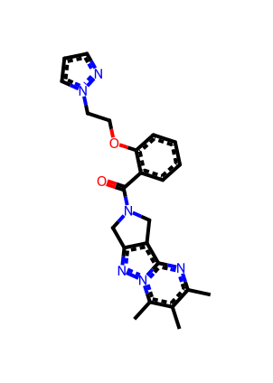 Cc1nc2c3c(nn2c(C)c1C)CN(C(=O)c1ccccc1OCCn1cccn1)C3